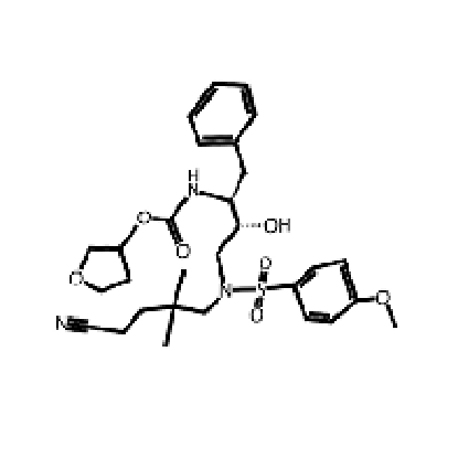 COc1ccc(S(=O)(=O)N(C[C@@H](O)[C@H](Cc2ccccc2)NC(=O)OC2CCOC2)CC(C)(C)CCC#N)cc1